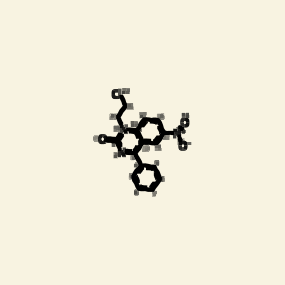 O=c1nc(-c2ccccc2)c2cc([N+](=O)[O-])ccc2n1CCCl